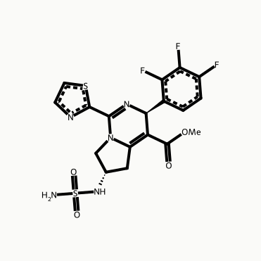 COC(=O)C1=C2C[C@H](NS(N)(=O)=O)CN2C(c2nccs2)=N[C@H]1c1ccc(F)c(F)c1F